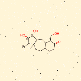 CC(C)C1[C@@H](O)[C@H](O)C2CC3C(CCC(=O)C3CO)CCC21C